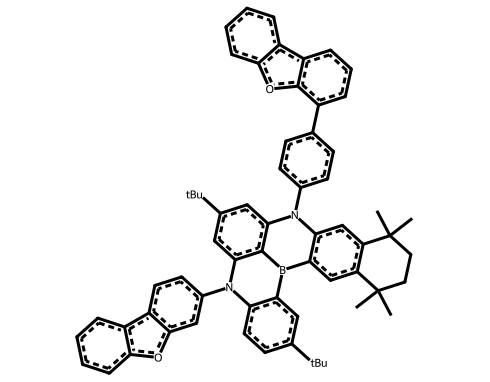 CC(C)(C)c1ccc2c(c1)B1c3cc4c(cc3N(c3ccc(-c5cccc6c5oc5ccccc56)cc3)c3cc(C(C)(C)C)cc(c31)N2c1ccc2c(c1)oc1ccccc12)C(C)(C)CCC4(C)C